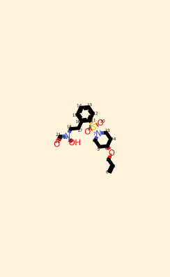 C=CCOC1CCN(S(=O)(=O)c2ccccc2CCN(O)C=O)CC1